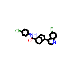 O=C(Nc1ccc(Cl)cc1)C1CCC2CC1CCC2c1ccnc2ccc(F)cc12